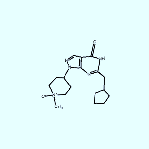 C[N+]1([O-])CCC(n2ncc3c(=O)[nH]c(CC4CCCC4)nc32)CC1